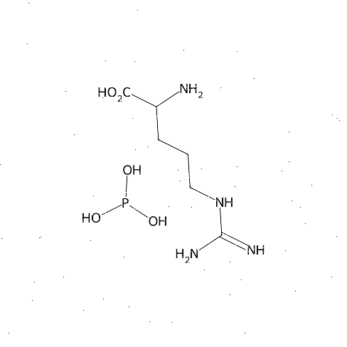 N=C(N)NCCCC(N)C(=O)O.OP(O)O